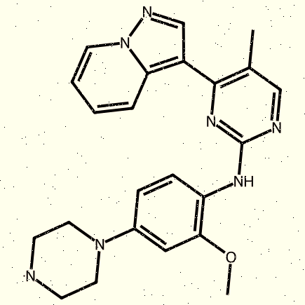 COc1cc(N2CC[N]CC2)ccc1Nc1ncc(C)c(-c2cnn3ccccc23)n1